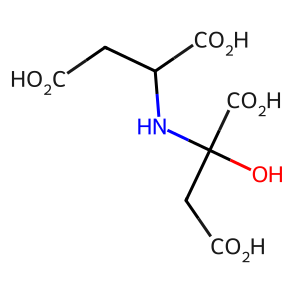 O=C(O)CC(NC(O)(CC(=O)O)C(=O)O)C(=O)O